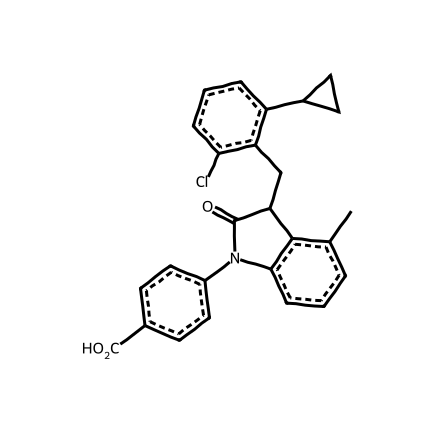 Cc1cccc2c1C(Cc1c(Cl)cccc1C1CC1)C(=O)N2c1ccc(C(=O)O)cc1